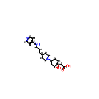 O=C(O)CC1(O)CCC(N2CCC(CCCNc3ccncc3)CC2)CC1